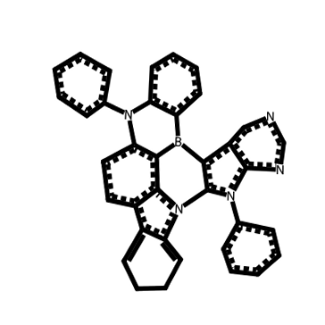 C1=c2c(n3c4c5c(ccc24)N(c2ccccc2)c2ccccc2B5c2c-3n(-c3ccccc3)c3ncncc23)=CCC1